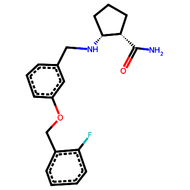 NC(=O)[C@H]1CCC[C@H]1NCc1cccc(OCc2ccccc2F)c1